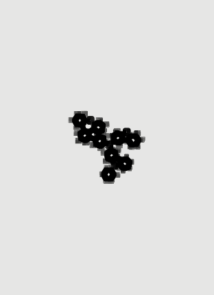 c1ccc(-n2c3ccccc3c3cc(N(c4ccc(-c5cccc6c5-c5ccccc5Oc5ccccc5-6)cc4)c4ccc5oc6ccccc6c5c4)ccc32)cc1